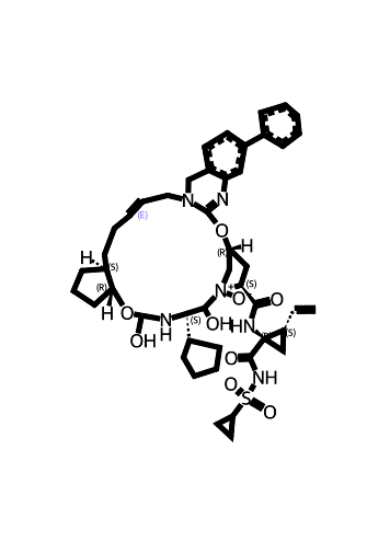 C=C[C@@H]1C[C@]1(NC(=O)[C@@H]1C[C@@H]2C[N+]1([O-])C(O)[C@H](C1CCCC1)NC(O)O[C@@H]1CCC[C@H]1CC/C=C/CN1Cc3ccc(-c4ccccc4)cc3N=C1O2)C(=O)NS(=O)(=O)C1CC1